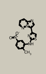 Cc1ccc([N+](=O)[O-])cc1Nc1nc(-c2cnc3cccnn23)cs1